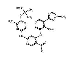 CCC(=O)c1cnc(Nc2ccc(OC(C)(C)C(=O)O)c(C)n2)cc1Nc1cccc(-c2ncn(C)n2)c1OC